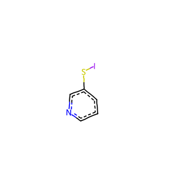 ISc1cccnc1